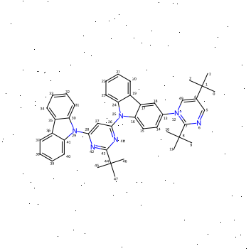 CC(C)(C)c1cnc(C(C)(C)C)[n+](-c2ccc3c(c2)c2ccccc2n3-c2cc(-n3c4ccccc4c4ccccc43)nc(C(C)(C)C)n2)c1